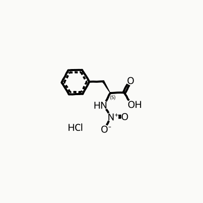 Cl.O=C(O)[C@H](Cc1ccccc1)N[N+](=O)[O-]